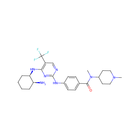 CN1CCC(N(C)C(=O)c2ccc(Nc3ncc(C(F)(F)F)c(N[C@@H]4CCCC[C@@H]4N)n3)cc2)CC1